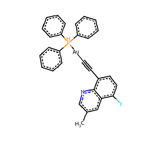 Cc1cnc2c(C#[C][Au][PH](c3ccccc3)(c3ccccc3)c3ccccc3)ccc(F)c2c1